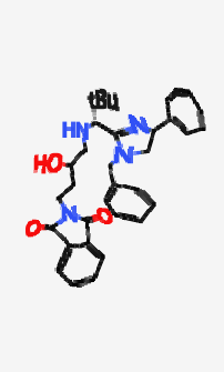 CC(C)(C)[C@@H](NCC(O)CCN1C(=O)c2ccccc2C1=O)C1=NC(c2ccccc2)CN1Cc1ccccc1